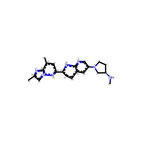 CN[C@@H]1CCN(c2cnc3nc(-c4cc(C)c5nc(C)cn5n4)ccc3c2)C1